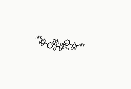 CCCc1noc(C2=CCC[N+](C)(OC(=O)C(=O)O[N+]3(C)CCC=C(c4nc(CCC)no4)C3)C2)n1